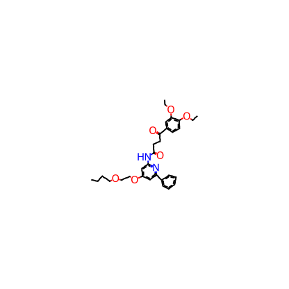 CCCCOCCOc1cc(NC(=O)CCC(=O)c2ccc(OCC)c(OCC)c2)nc(-c2ccccc2)c1